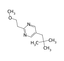 COCCc1ncc(CC(C)(C)C)cn1